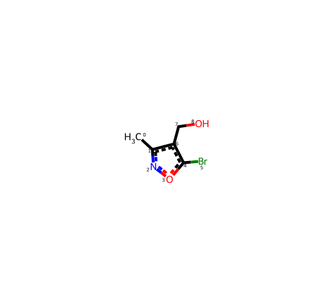 Cc1noc(Br)c1CO